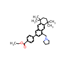 CCOC(=O)c1ccc(-c2cc(CN3CCCC3)c3cc4c(cc3c2)C(C)(C)CCC4(C)C)cc1